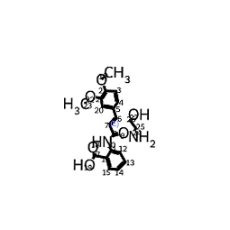 COc1ccc(/C=C/C(=O)Nc2ccccc2C(=O)O)cc1OC.NCCO